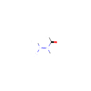 CCCN(C(=O)CC)N(C)N